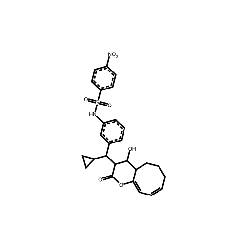 O=C1OC2=CC=CCCCC2C(O)C1C(c1cccc(NS(=O)(=O)c2ccc([N+](=O)[O-])cc2)c1)C1CC1